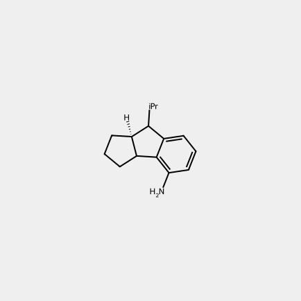 CC(C)C1c2cccc(N)c2C2CCC[C@H]21